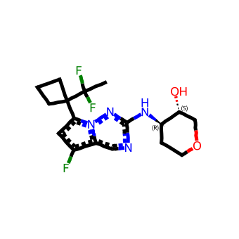 CC(F)(F)C1(c2cc(F)c3cnc(N[C@@H]4CCOC[C@H]4O)nn23)CCC1